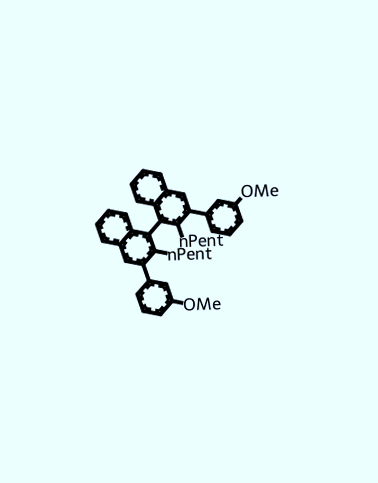 CCCCCc1c(-c2cccc(OC)c2)cc2ccccc2c1-c1c(CCCCC)c(-c2cccc(OC)c2)cc2ccccc12